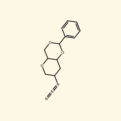 [N-]=[N+]=NC1COC2COC(c3ccccc3)OC2C1